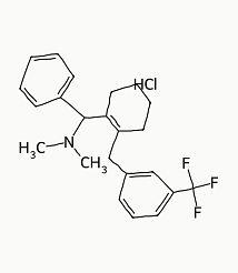 CN(C)C(C1=C(Cc2cccc(C(F)(F)F)c2)CCCC1)c1ccccc1.Cl